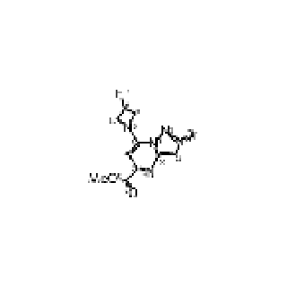 COC(=O)c1cc(N2CC(F)C2)n2nc(Br)cc2n1